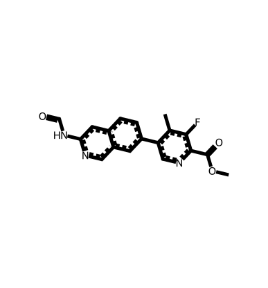 COC(=O)c1ncc(-c2ccc3cc(NC=O)ncc3c2)c(C)c1F